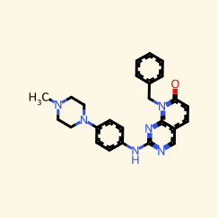 CN1CCN(c2ccc(Nc3ncc4ccc(=O)n(Cc5ccccc5)c4n3)cc2)CC1